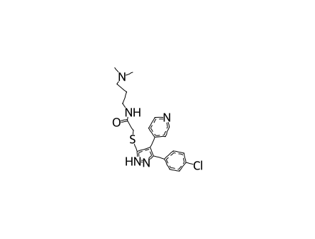 CN(C)CCCNC(=O)CSc1[nH]nc(-c2ccc(Cl)cc2)c1-c1ccncc1